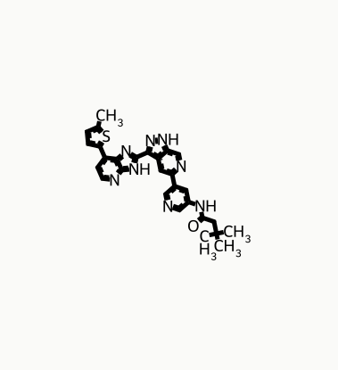 Cc1ccc(-c2ccnc3[nH]c(-c4n[nH]c5cnc(-c6cncc(NC(=O)CC(C)(C)C)c6)cc45)nc23)s1